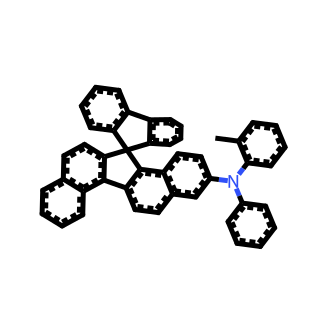 Cc1ccccc1N(c1ccccc1)c1ccc2c3c(ccc2c1)-c1c(ccc2ccccc12)C31c2ccccc2-c2ccccc21